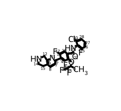 CC(Oc1cc(-c2ccc3c(n2)CNCC3)c(F)cc1C(=O)Nc1c(F)cccc1Cl)C(F)(F)F